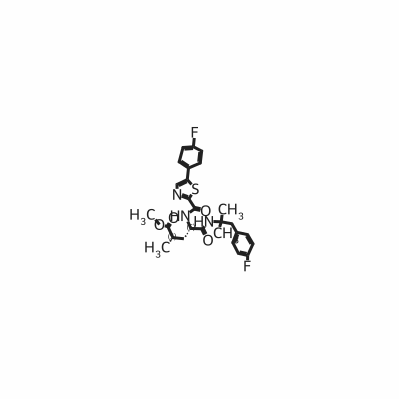 COC(=O)[C@@H](C)C[C@H](NC(=O)c1ncc(-c2ccc(F)cc2)s1)C(=O)NC(C)(C)Cc1ccc(F)cc1